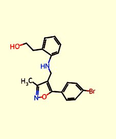 Cc1noc(-c2ccc(Br)cc2)c1CNc1ccccc1CCO